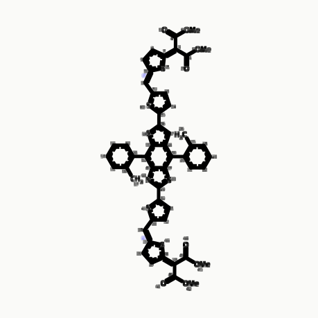 COC(=O)C(C(=O)OC)=c1cc/c(=C/c2ccc(-c3cc4c(-c5ccccc5C)c5sc(-c6ccc(/C=c7/ccc(=C(C(=O)OC)C(=O)OC)s7)s6)nc5c(-c5ccccc5C)c4s3)s2)s1